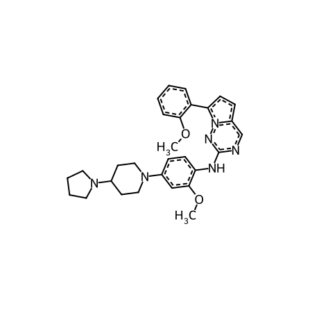 COc1cc(N2CCC(N3CCCC3)CC2)ccc1Nc1ncc2ccc(-c3ccccc3OC)n2n1